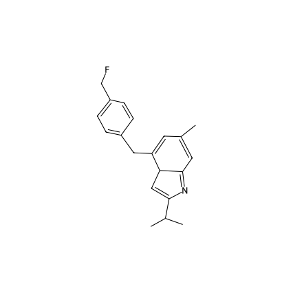 CC1=CC2=NC(C(C)C)=CC2C(Cc2ccc(CF)cc2)=C1